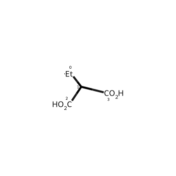 C[CH]C(C(=O)O)C(=O)O